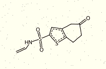 C=CNS(=O)(=O)c1cc2c(s1)CCC(=O)C2